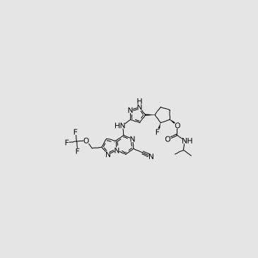 CC(C)NC(=O)O[C@@H]1CC[C@H](c2cc(Nc3nc(C#N)cn4nc(COC(F)(F)F)cc34)n[nH]2)[C@@H]1F